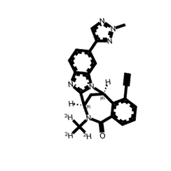 [2H]C([2H])([2H])N1C(=O)c2cccc(C#C)c2[C@H]2C[C@@H]1c1nc3ccc(-c4cnn(C)n4)cc3n12